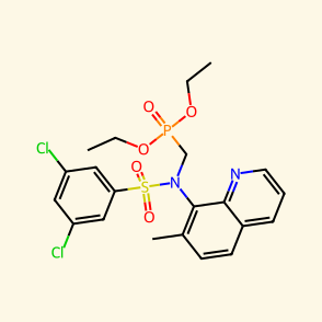 CCOP(=O)(CN(c1c(C)ccc2cccnc12)S(=O)(=O)c1cc(Cl)cc(Cl)c1)OCC